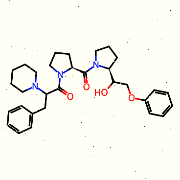 O=C(C(Cc1ccccc1)N1CCCCC1)N1CCC[C@H]1C(=O)N1CCC[C@H]1C(O)COc1ccccc1